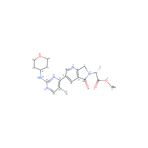 C[C@H](C(=O)OC(C)(C)C)N1Cc2ncc(-c3nc(NC4CCOCC4)ncc3Cl)cc2C1=O